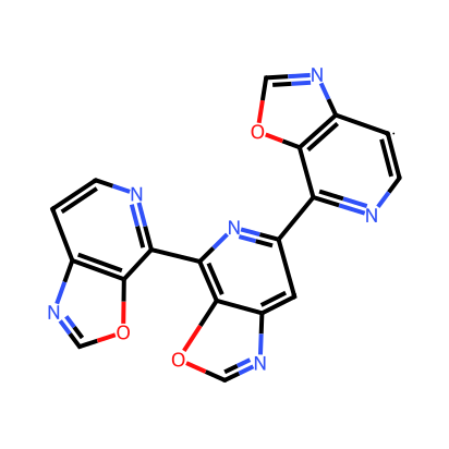 [c]1cnc(-c2cc3ncoc3c(-c3nccc4ncoc34)n2)c2ocnc12